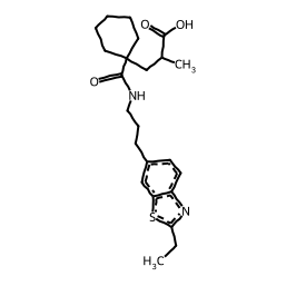 CCc1nc2ccc(CCCNC(=O)C3(CC(C)C(=O)O)CCCCC3)cc2s1